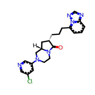 O=C1[C@@H](CCCc2cccc3ncnn23)C[C@H]2CN(c3cncc(Cl)c3)CCN12